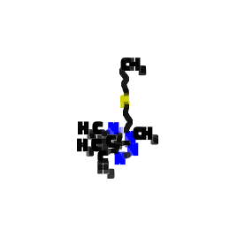 CCCCCSCCCCN(C)C1=NC=NC(CC)[C@@]1(C)/C=N\C(C)CC